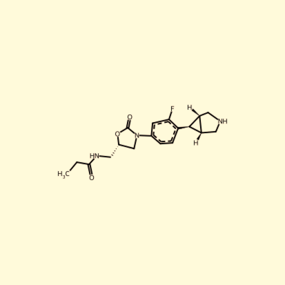 CCC(=O)NC[C@H]1CN(c2ccc([C@H]3[C@@H]4CNC[C@@H]43)c(F)c2)C(=O)O1